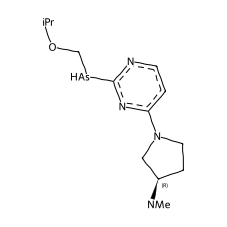 CN[C@@H]1CCN(c2ccnc([AsH]COC(C)C)n2)C1